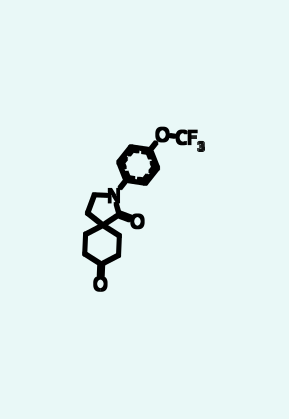 O=C1CCC2(CC1)CCN(c1ccc(OC(F)(F)F)cc1)C2=O